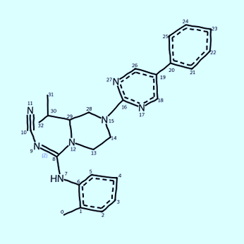 Cc1ccccc1N/C(=N/C#N)N1CCN(c2ncc(-c3ccccc3)cn2)CC1C(C)C